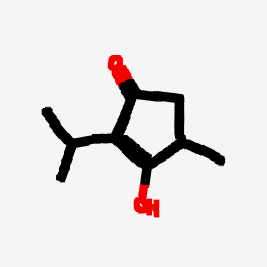 CC(C)C1=C(O)C(C)CC1=O